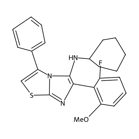 COc1cccc(F)c1-c1nc2scc(-c3ccccc3)n2c1NC1CCCCC1